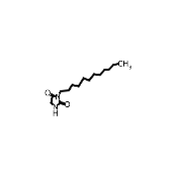 CCCCCCCCCCCCN1C(=O)CNC1=O